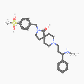 CCOC(=O)NC(CCN1CCC2(CC1)CCN(Cc1ccc(S(C)(=O)=O)cc1)C2=O)c1ccccc1